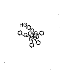 O=C(O[C@@H]1C(Oc2ccc(O)cc2)O[C@H](COCc2ccccc2)[C@@H](OCc2ccccc2)[C@@H]1OCc1ccccc1)c1ccccc1